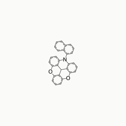 c1cc2c3c(c1)Oc1cccc4c1C3c1c(cccc1N4c1cccc3ccccc13)O2